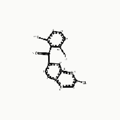 O=C(c1ccc2ncc(Cl)nc2c1)c1c(F)[c]ccc1F